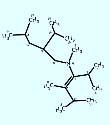 C/C(=C(/C(C)C)N(C)CC(CC(C)C)C(C)C)C(C)C